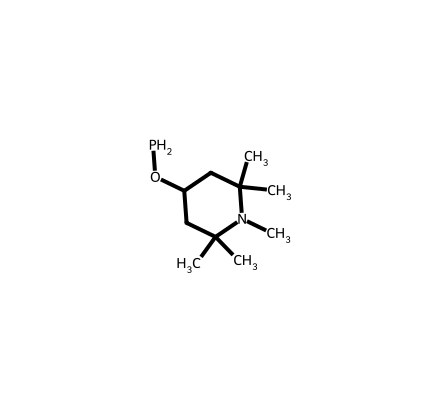 CN1C(C)(C)CC(OP)CC1(C)C